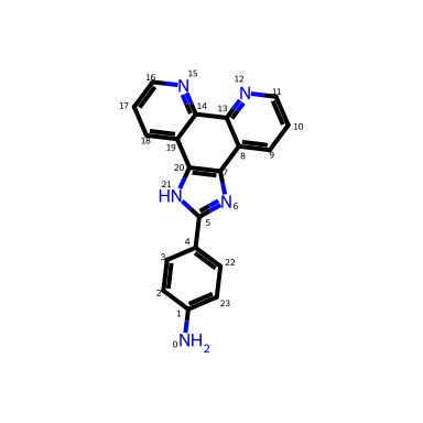 Nc1ccc(-c2nc3c4cccnc4c4ncccc4c3[nH]2)cc1